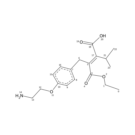 CCOC(=O)C(Cc1ccc(OCCN)cc1)=C(C(=O)O)C(C)C